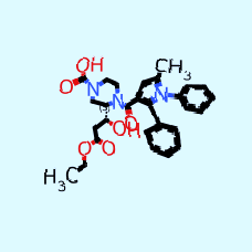 CCOC(=O)CC(O)[C@@H]1CN(C(=O)O)CCN1C(=O)c1cc(C)n(-c2ccccc2)c1-c1ccccc1